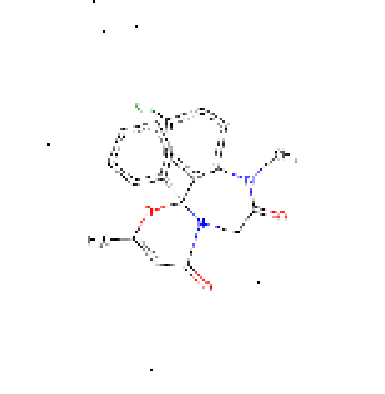 CC1=CC(=O)N2CC(=O)N(C)c3ccc(Cl)cc3[C@]2(c2ccccc2)O1